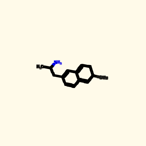 COC1C=c2ccc(CC(C)N)cc2=CC1